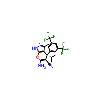 Cc1n[nH]c2c1[C@](c1cc(C(F)(F)F)cc(C(F)(F)F)c1)(C(C)C)C(C#N)=C(N)O2